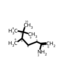 C=C(N)CCC(C)C(C)(C)C